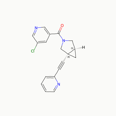 O=C(c1cncc(Cl)c1)N1C[C@H]2C[C@@]2(C#Cc2ccccn2)C1